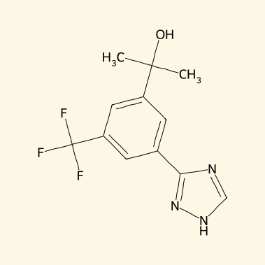 CC(C)(O)c1cc(-c2nc[nH]n2)cc(C(F)(F)F)c1